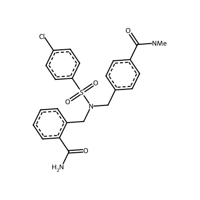 CNC(=O)c1ccc(CN(Cc2ccccc2C(N)=O)S(=O)(=O)c2ccc(Cl)cc2)cc1